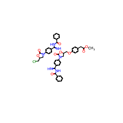 COC(=O)Cc1ccc(OCC2CN(c3ccc(C(=N)NC(=O)c4ccccc4)cc3)C(=O)O2)cc1.N=C(NC(=O)c1ccccc1)c1ccc(N2CC(CCl)OC2=O)cc1